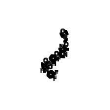 Cc1c(OCCN2CCOCC2)ncc2c(Oc3ccc(NC(=O)C4(C(=O)Nc5ccc(F)c(F)c5)CC4)cc3F)ccnc12